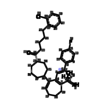 CC(=N)C1=C(/C=C(\C)c2ccc(F)cc2)C(C2CCC[C@H](C(=O)CCCCc3ccccc3Cl)CC2)=CCCC1